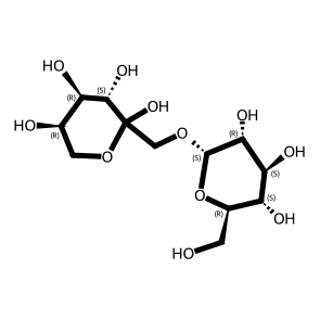 OC[C@H]1O[C@H](OCC2(O)OC[C@@H](O)[C@@H](O)[C@@H]2O)[C@H](O)[C@@H](O)[C@@H]1O